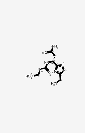 NCc1noc([C@@H](CC(N)=O)NC(=O)NCC(=O)O)n1